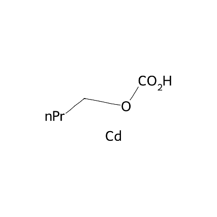 CCCCOC(=O)O.[Cd]